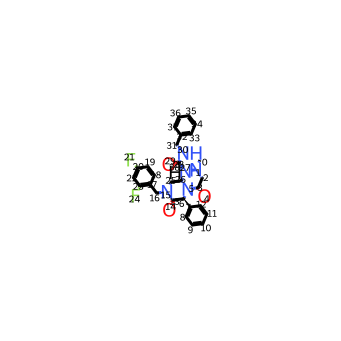 CN1CC(=O)N2[C@@H](c3ccccc3)C(=O)N(Cc3ccc(F)cc3F)C[C@@H]2N1C(=O)NCc1ccccc1